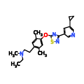 CCN(C)CCc1cc(C)c(Oc2nc(-c3cncc(C4CC4)c3)ns2)cc1C